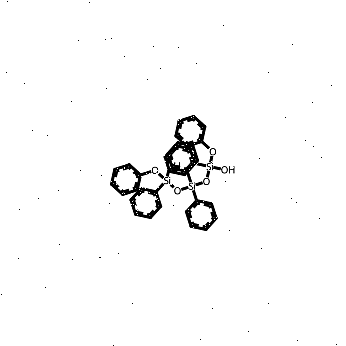 O[Si](Oc1ccccc1)(O[Si](O[Si](O)(Oc1ccccc1)c1ccccc1)(c1ccccc1)c1ccccc1)c1ccccc1